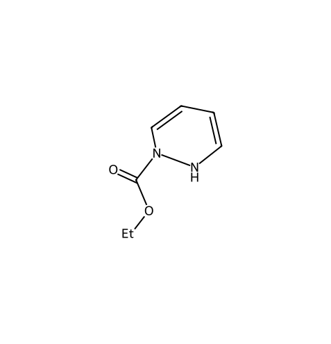 CCOC(=O)N1C=CC=CN1